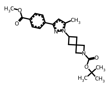 COC(=O)c1ccc(-c2cc(C)n(C3CC4(C3)CN(C(=O)OC(C)(C)C)C4)n2)cc1